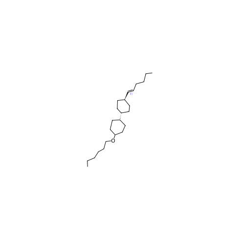 CCCC/C=C/[C@H]1CC[C@H](C2CCC(OCCCCCC)CC2)CC1